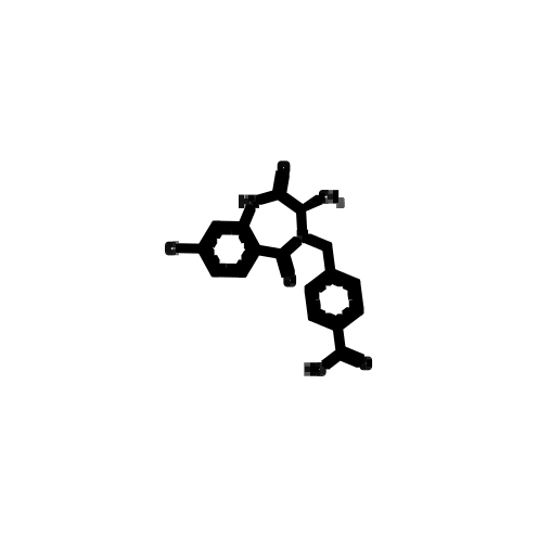 C[C@@H]1C(=O)Nc2cc(Cl)ccc2C(=O)N1Cc1ccc(C(=O)O)cc1